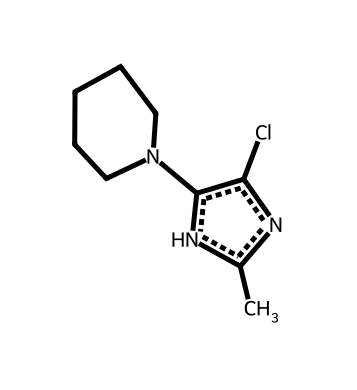 Cc1nc(Cl)c(N2CCCCC2)[nH]1